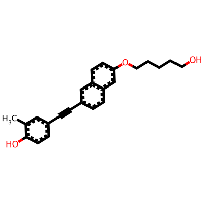 Cc1cc(C#Cc2ccc3cc(OCCCCCO)ccc3c2)ccc1O